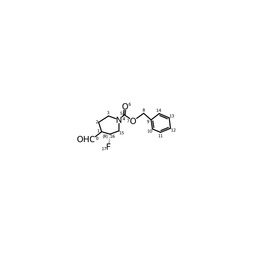 O=CC1CCN(C(=O)OCc2ccccc2)C[C@@H]1F